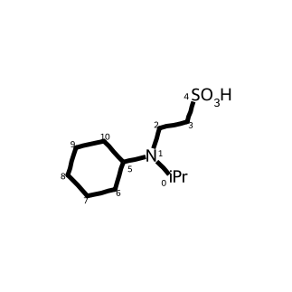 CC(C)N(CCS(=O)(=O)O)C1CCCCC1